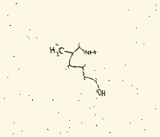 CC(C[NH])CCCCO